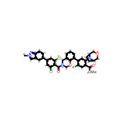 COC(=O)c1cc(F)c(-c2cccc3c2OCN(C(=O)c2c(Cl)cc(-c4ccc5nn(C)cc5c4)cc2Cl)C3)cc1N1C2CCC1COC2